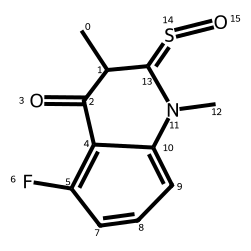 CC1C(=O)c2c(F)cccc2N(C)C1=S=O